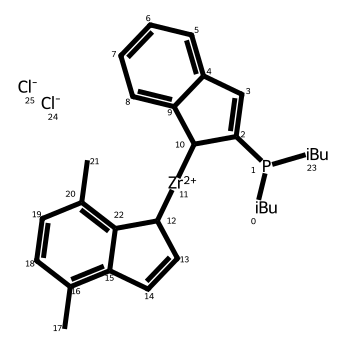 CCC(C)P(C1=Cc2ccccc2[CH]1[Zr+2][CH]1C=Cc2c(C)ccc(C)c21)C(C)CC.[Cl-].[Cl-]